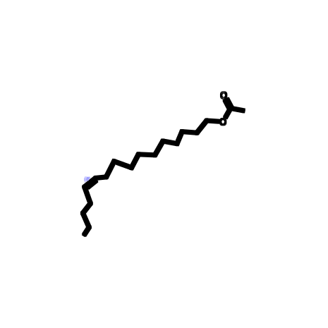 CCCC/C=C\CCCCCCCCCCOC(C)=O